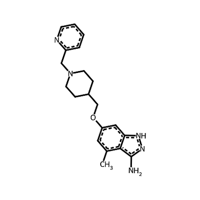 Cc1cc(OCC2CCN(Cc3ccccn3)CC2)cc2[nH]nc(N)c12